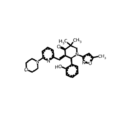 Cc1cc(N2CC(C)(C)C(=O)C(=Cc3cccc(N4CCOCC4)n3)C2c2ccccc2O)no1